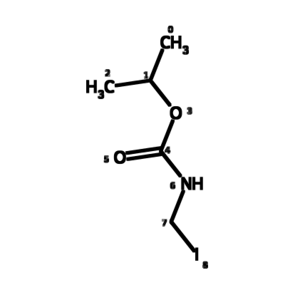 CC(C)OC(=O)NCI